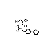 CN(C(=O)CCc1ccc(-c2ccccc2)cc1)C1NCC(O)C1O